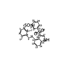 Cc1ccc(S(=O)(=O)O)c(C)c1CCc1cccc2[nH]cc(S(=O)(=O)c3ccccc3)c12